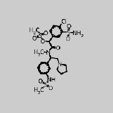 CN(C(=O)C(OS(C)(=O)=O)c1ccc(Cl)c(S(N)(=O)=O)c1)C(CN1CCCC1)c1cccc(NS(C)(=O)=O)c1